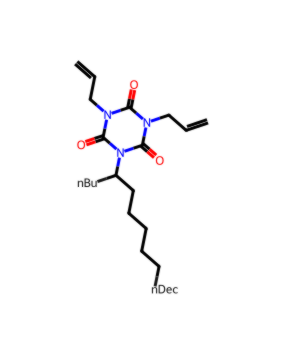 C=CCn1c(=O)n(CC=C)c(=O)n(C(CCCC)CCCCCCCCCCCCCCC)c1=O